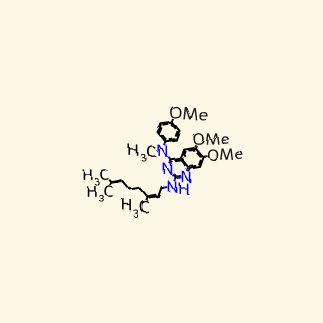 COc1ccc(N(C)c2nc(NCC=C(C)CCC=C(C)C)nc3cc(OC)c(OC)cc23)cc1